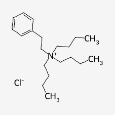 CCCC[N+](CCCC)(CCCC)CCc1ccccc1.[Cl-]